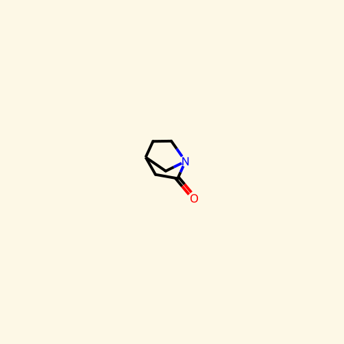 O=C1CC2CCN1C2